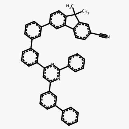 CC1(C)c2ccc(-c3cccc(-c4cccc(-c5cc(-c6cccc(-c7ccccc7)c6)nc(-c6ccccc6)n5)c4)c3)cc2-c2ccc(C#N)cc21